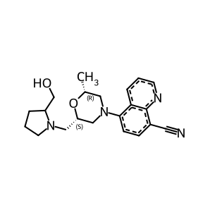 C[C@@H]1CN(c2ccc(C#N)c3ncccc23)C[C@H](CN2CCCC2CO)O1